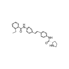 CCc1ccccc1C(=O)Nc1ccc(/C=C/c2ccc(NC(=O)[C@@H]3CCCN3)cc2)cc1